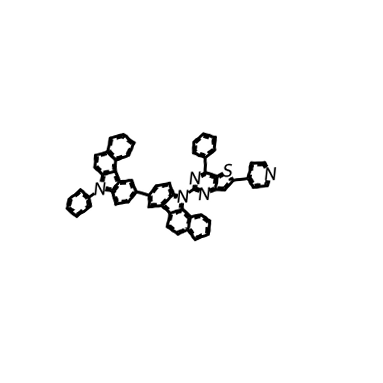 c1ccc(-c2nc(-n3c4ccc(-c5ccc6c(c5)c5c7ccccc7ccc5n6-c5ccccc5)cc4c4ccc5ccccc5c43)nc3cc(-c4ccncc4)sc23)cc1